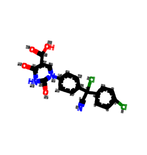 N#CC(Cl)(c1ccc(Cl)cc1)c1ccc(-n2cc(C(=O)O)c(=O)[nH]c2=O)cc1